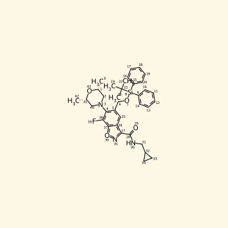 C[C@@H]1CN(c2c(CO[Si](c3ccccc3)(c3ccccc3)C(C)(C)C)cc3c(C(=O)NCC4CC4)noc3c2F)C[C@H](C)O1